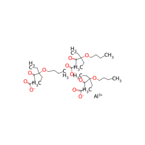 CCCCOC(CC)(CC)C(=O)CC(=O)[O-].CCCCOC(CC)(CC)C(=O)CC(=O)[O-].CCCCOC(CC)(CC)C(=O)CC(=O)[O-].[Al+3]